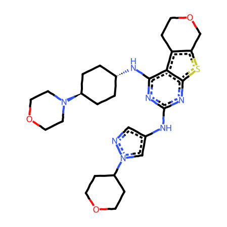 c1nn(C2CCOCC2)cc1Nc1nc(N[C@H]2CC[C@H](N3CCOCC3)CC2)c2c3c(sc2n1)COCC3